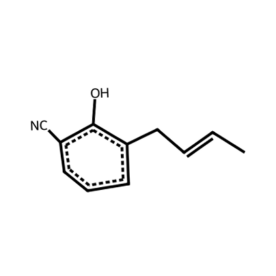 CC=CCc1cccc(C#N)c1O